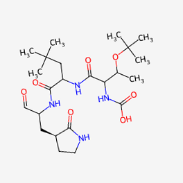 CC(OC(C)(C)C)C(NC(=O)O)C(=O)NC(CC(C)(C)C)C(=O)NC(C=O)C[C@@H]1CCNC1=O